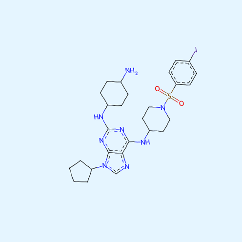 NC1CCC(Nc2nc(NC3CCN(S(=O)(=O)c4ccc(I)cc4)CC3)c3ncn(C4CCCC4)c3n2)CC1